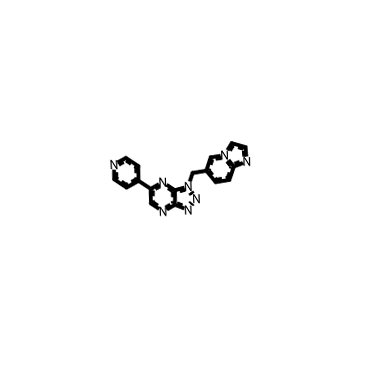 c1cc(-c2cnc3nnn(Cc4ccc5nccn5c4)c3n2)ccn1